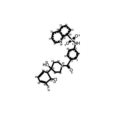 O=C(c1ccc(NS(=O)(=O)c2cccc3cccnc23)cc1)N1CCC(O)(C2C=CC=C(F)C2Cl)CC1